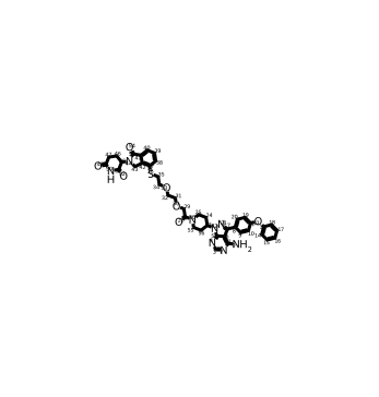 Nc1ncnc2c1c(-c1ccc(Oc3ccccc3)cc1)nn2C1CCN(C(=O)COCCOCCSc2cccc3c2CN(C2CCC(=O)NC2=O)C3=O)CC1